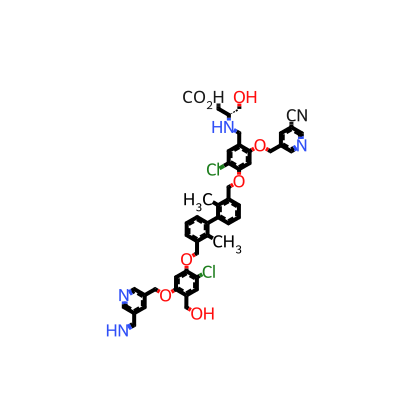 Cc1c(COc2cc(OCc3cncc(C=N)c3)c(CO)cc2Cl)cccc1-c1cccc(COc2cc(OCc3cncc(C#N)c3)c(CN[C@@H](CO)CC(=O)O)cc2Cl)c1C